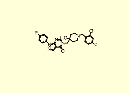 O=c1c2cnn(-c3ccc(F)cc3)c2ncn1CC1(O)CCN(Cc2ccc(F)cc2Cl)CC1